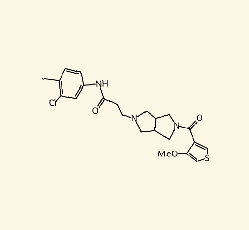 COc1cscc1C(=O)N1CC2CN(CCC(=O)Nc3ccc(C)c(Cl)c3)CC2C1